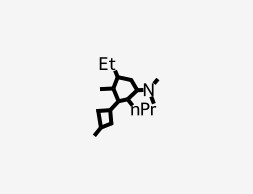 CCCC1C(C2CC(C)C2)C(C)C(CC)CC1N(C)C